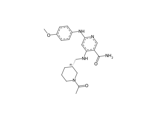 COc1ccc(Nc2cc(NC[C@H]3CCCN(C(C)=O)C3)c(C(N)=O)cn2)cc1